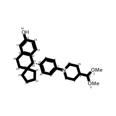 COC(OC)C1CCN(c2ccc([C@H]3c4ccc(O)cc4CCC34CCCC4)cc2)CC1